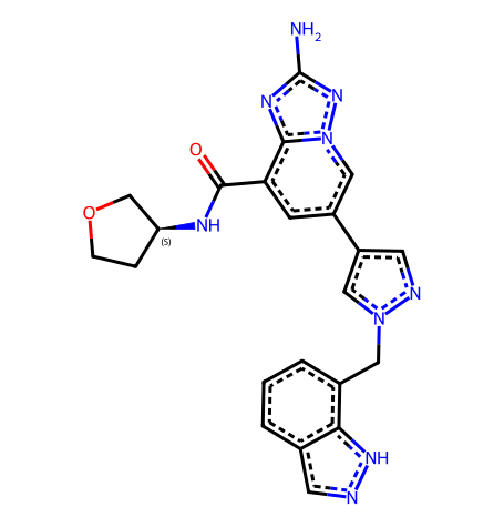 Nc1nc2c(C(=O)N[C@H]3CCOC3)cc(-c3cnn(Cc4cccc5cn[nH]c45)c3)cn2n1